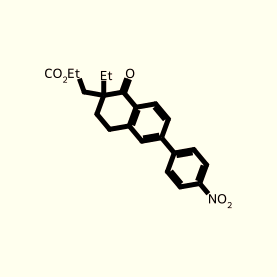 CCOC(=O)CC1(CC)CCc2cc(-c3ccc([N+](=O)[O-])cc3)ccc2C1=O